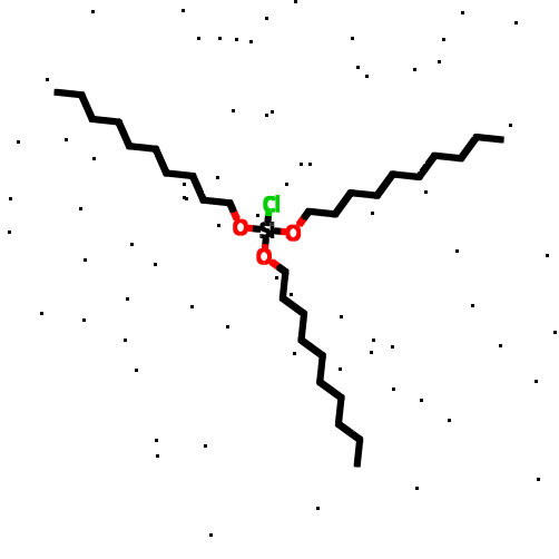 CCCCCCCCCCO[Si](Cl)(OCCCCCCCCCC)OCCCCCCCCCC